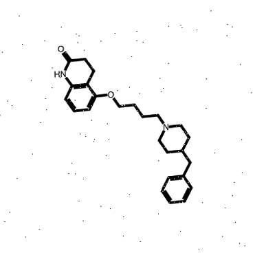 O=C1CCc2c(cccc2OCCCCN2CCC(Cc3ccccc3)CC2)N1